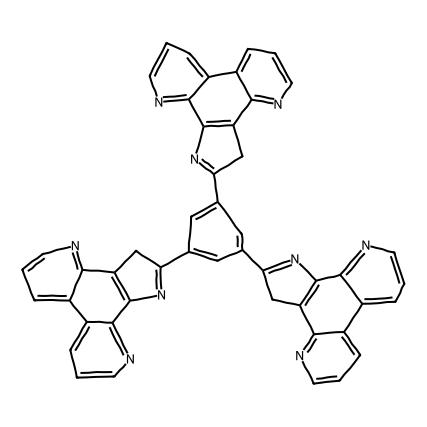 c1cnc2c3c(c4ncccc4c2c1)N=C(c1cc(C2=Nc4c(c5ncccc5c5cccnc45)C2)cc(C2=Nc4c(c5ncccc5c5cccnc45)C2)c1)C3